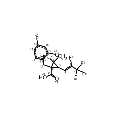 CC1(C)C(C=C(F)C(F)(F)F)C1(Cc1ccc(F)cc1Cl)C(=O)O